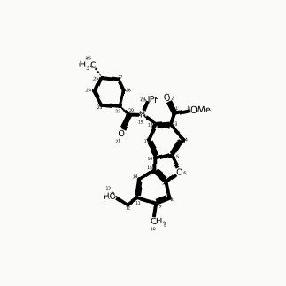 COC(=O)c1cc2oc3cc(C)c(CO)cc3c2cc1N(C(=O)[C@H]1CC[C@H](C)CC1)C(C)C